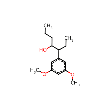 CCCC(O)C(CC)c1cc(OC)cc(OC)c1